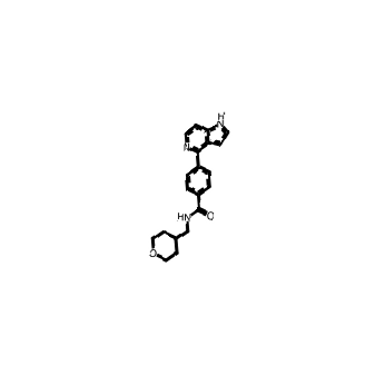 O=C(NCC1CCOCC1)c1ccc(-c2nccc3[nH]ccc23)cc1